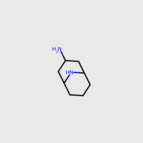 NC1CC2CCCC(C1)N2